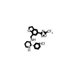 Cl.FC(F)(F)c1nc(-c2cc3c(c(CN[C@H]4CCCN[C@H]4c4ccccc4)c2)OCC3)no1